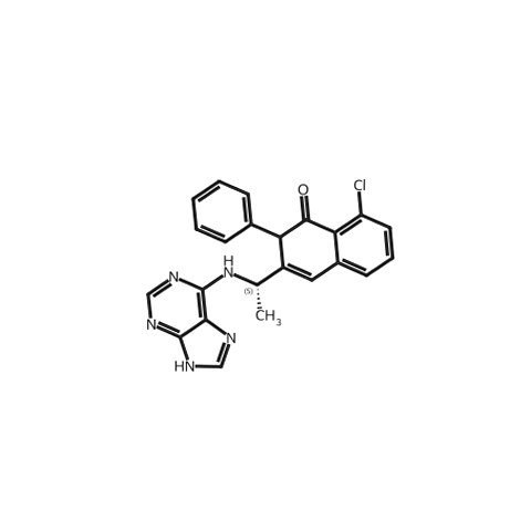 C[C@H](Nc1ncnc2[nH]cnc12)C1=Cc2cccc(Cl)c2C(=O)C1c1ccccc1